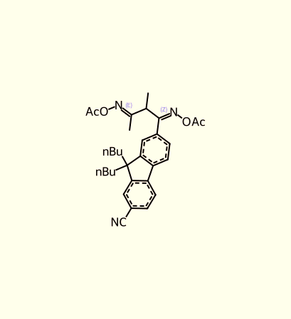 CCCCC1(CCCC)c2cc(C#N)ccc2-c2ccc(/C(=N\OC(C)=O)C(C)/C(C)=N/OC(C)=O)cc21